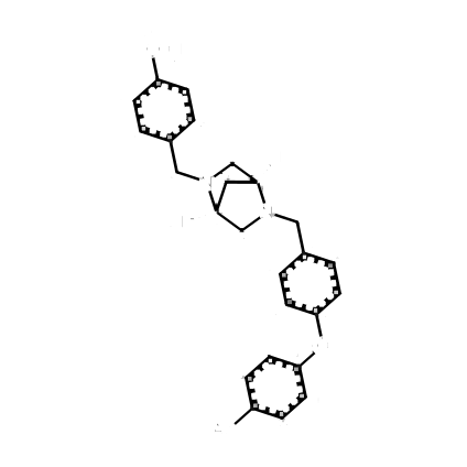 CC(=O)c1ccc(Oc2ccc(CN3C[C@@H]4C[C@H]3CN4Cc3ccc(C(=O)O)cc3)cc2)cc1